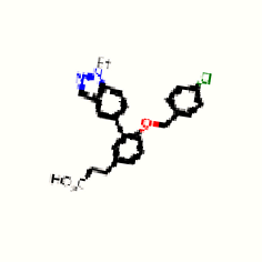 CCn1ncc2cc(-c3cc(CCC(=O)O)ccc3OCc3ccc(Cl)cc3)ccc21